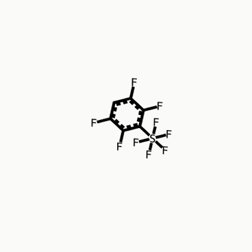 Fc1cc(F)c(F)c(S(F)(F)(F)(F)F)c1F